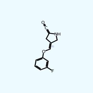 O=C=C1C/C(=C\Oc2cccc(F)c2)CN1